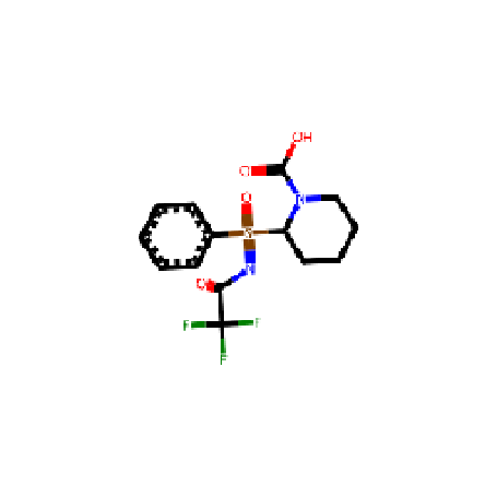 O=C(O)N1CCCCC1S(=O)(=NC(=O)C(F)(F)F)c1ccccc1